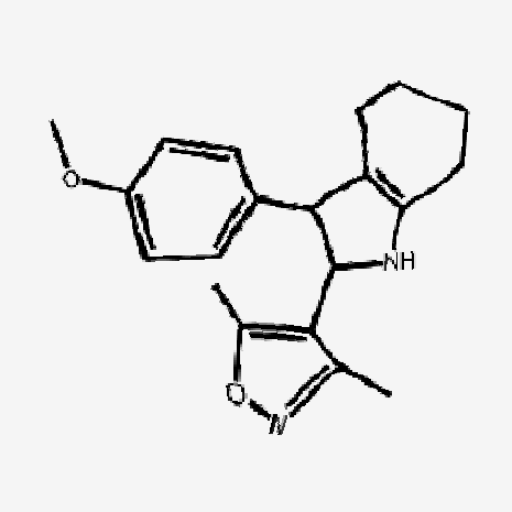 COc1ccc(C2C3=C(CCCC3)NC2c2c(C)noc2C)cc1